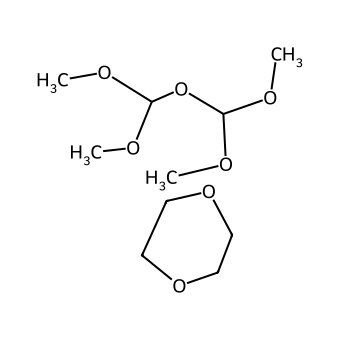 C1COCCO1.COC(OC)OC(OC)OC